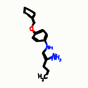 CCC[C@H](N)CNc1ccc(OCC2CCC2)cc1